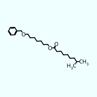 CC(C)CCCCCCC(=O)OCCCCCCCOCc1ccccc1